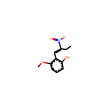 CCC(=Cc1c(O)cccc1OC)[N+](=O)[O-]